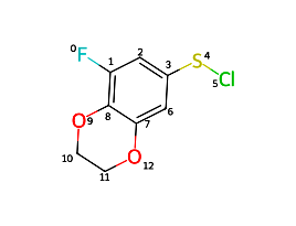 Fc1cc(SCl)cc2c1OCCO2